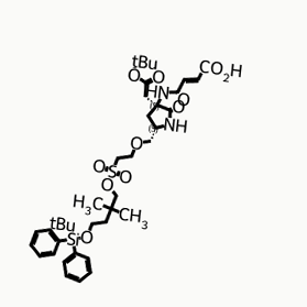 CC(C)(CCO[Si](c1ccccc1)(c1ccccc1)C(C)(C)C)COS(=O)(=O)CCOC[C@@H]1C[C@@](CC(=O)OC(C)(C)C)(NC(=O)C=CC(=O)O)C(=O)N1